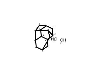 C1C2CC3C4CC5CC(C14)C(C2)C3C5.Cl.Cl